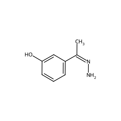 C/C(=N/N)c1cccc(O)c1